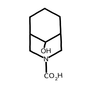 O=C(O)N1CC2CCCC(C1)C2O